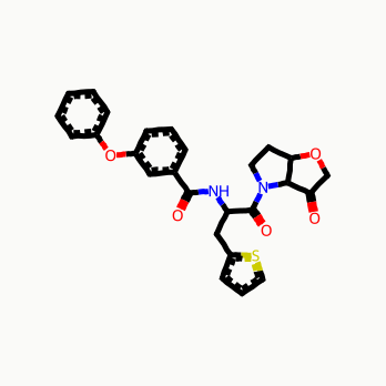 O=C(NC(Cc1cccs1)C(=O)N1CCC2OCC(=O)C21)c1cccc(Oc2ccccc2)c1